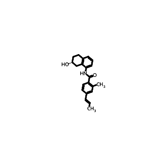 C/C=C/c1ccc(C(=O)Nc2cccc3c2C[C@H](O)CC3)c(C)c1